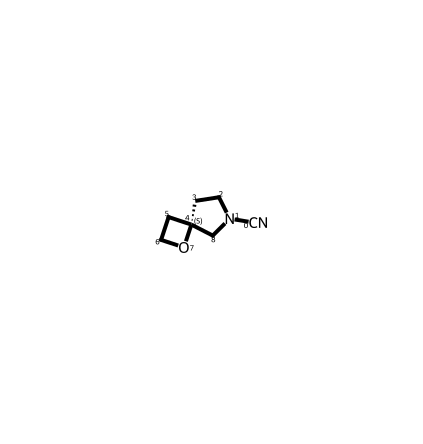 N#CN1CC[C@]2(CCO2)C1